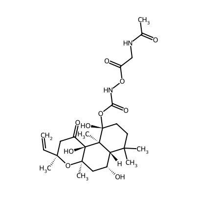 C=C[C@@]1(C)CC(=O)[C@]2(O)[C@]3(C)[C@@H]([C@H](O)C[C@@]2(C)O1)C(C)(C)CC[C@@]3(O)OC(=O)NOC(=O)CNC(C)=O